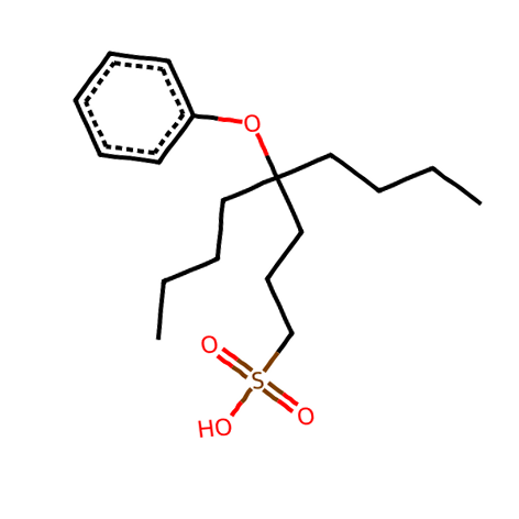 CCCCC(CCCC)(CCCS(=O)(=O)O)Oc1ccccc1